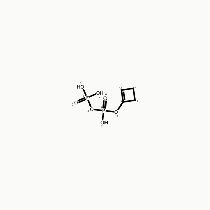 O=P(O)(O)OP(=O)(O)OC1=CCC1